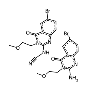 COCCn1c(N)nc2ccc(Br)cc2c1=O.COCCn1c(NC#N)nc2ccc(Br)cc2c1=O